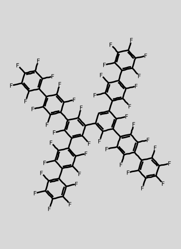 Fc1c(F)c(F)c(-c2c(F)c(F)c(-c3cc(-c4c(F)c(-c5c(F)c(F)c(-c6c(F)c(F)c(F)c(F)c6F)c(F)c5F)c(F)c(-c5c(F)c(F)c(-c6c(F)c(F)c(F)c(F)c6F)c(F)c5F)c4F)c(F)c(-c4c(F)c(F)c(-c5c(F)c(F)c(F)c(F)c5F)c(F)c4F)c3F)c(F)c2F)c(F)c1F